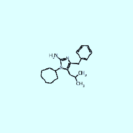 CC(C)Cc1c(Cc2ccccc2)nc(N)n1C1CCCCCC1